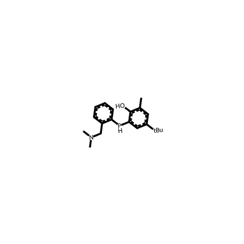 Cc1cc(C(C)(C)C)cc(Pc2ccccc2CN(C)C)c1O